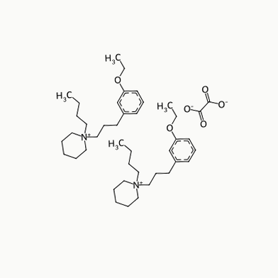 CCCC[N+]1(CCCc2cccc(OCC)c2)CCCCC1.CCCC[N+]1(CCCc2cccc(OCC)c2)CCCCC1.O=C([O-])C(=O)[O-]